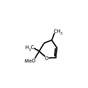 COC1(C)CC(C)C=CO1